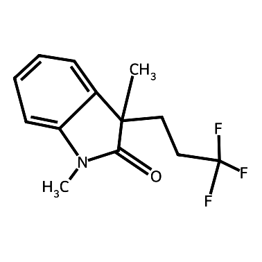 CN1C(=O)C(C)(CCC(F)(F)F)c2ccccc21